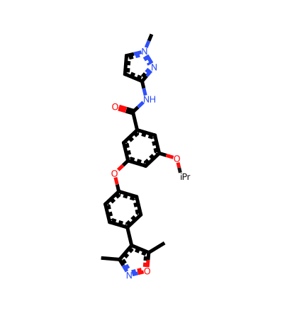 Cc1noc(C)c1-c1ccc(Oc2cc(OC(C)C)cc(C(=O)Nc3ccn(C)n3)c2)cc1